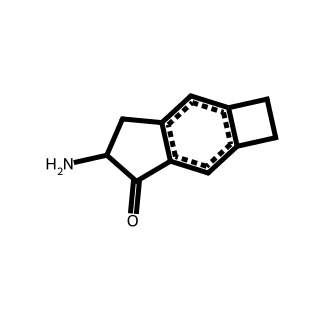 NC1Cc2cc3c(cc2C1=O)CC3